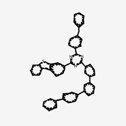 c1ccc(-c2ccc(-c3cccc(-c4cccc(-c5nc(-c6ccc(-c7ccccc7)cc6)nc(-c6ccc7c(c6)sc6ccccc67)n5)c4)c3)cc2)cc1